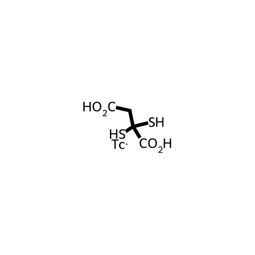 O=C(O)CC(S)(S)C(=O)O.[Tc]